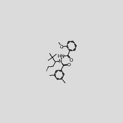 CCCC(N(NC(=O)c1ccccc1OC)C(=O)c1cc(C)cc(C)c1)C(C)(C)C